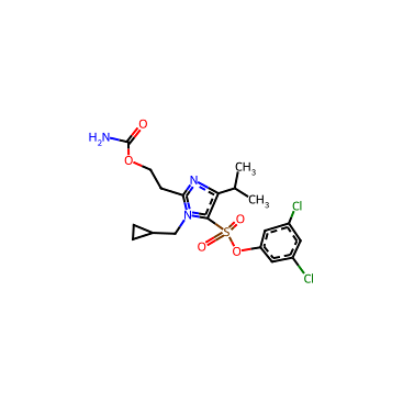 CC(C)c1nc(CCOC(N)=O)n(CC2CC2)c1S(=O)(=O)Oc1cc(Cl)cc(Cl)c1